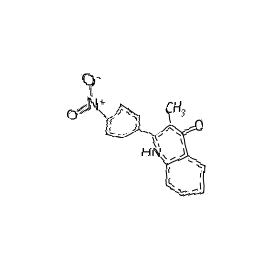 Cc1c(-c2ccc([N+](=O)[O-])cc2)[nH]c2ccccc2c1=O